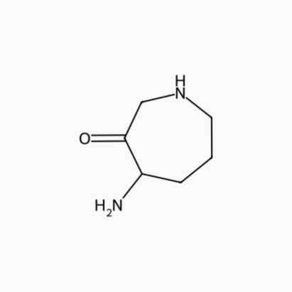 NC1CCCNCC1=O